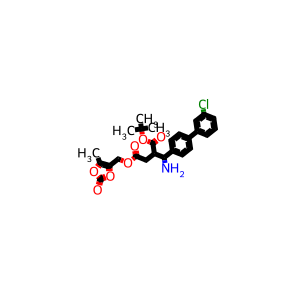 Cc1oc(=O)oc1COC(=O)CC(C(=O)OC(C)(C)C)C(N)c1ccc(-c2cccc(Cl)c2)cc1